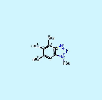 CCCCc1cc2c(nnn2CCCC)c(CCCC)c1CCCC